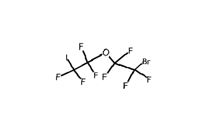 FC(F)(Br)C(F)(F)OC(F)(F)C(F)(F)I